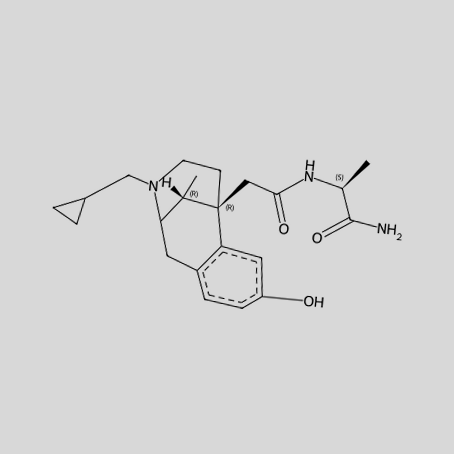 C[C@H](NC(=O)C[C@@]12CCN(CC3CC3)C(Cc3ccc(O)cc31)[C@@H]2C)C(N)=O